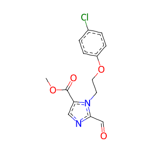 COC(=O)c1cnc(C=O)n1CCOc1ccc(Cl)cc1